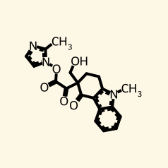 Cc1nccn1OC(=O)C(=O)C1(CO)CCc2c(c3ccccc3n2C)C1=O